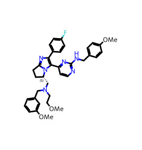 COCCN(Cc1cccc(OC)c1)C[C@@H]1CCc2nc(-c3ccc(F)cc3)c(-c3ccnc(NCc4ccc(OC)cc4)n3)n21